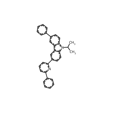 CC(C)n1c2ccc(-c3ccccc3)cc2c2cc(-c3cccc(-c4ccccc4)n3)ccc21